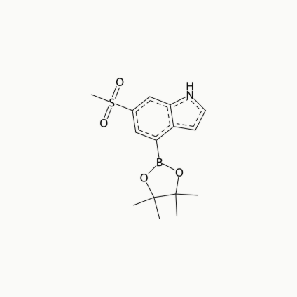 CC1(C)OB(c2cc(S(C)(=O)=O)cc3[nH]ccc23)OC1(C)C